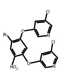 O=[N+]([O-])c1cc(Br)c(Oc2cncc(Cl)c2)cc1Oc1cncc(Cl)c1